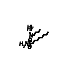 CCCCCCCCS(N)(=O)=O.CCCCN(C)C.F.I